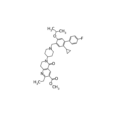 CCc1nc2c(cc1C(=O)OC)C(=O)N(C1CCN(Cc3cc(C4CC4)c(-c4ccc(F)cc4)cc3OC(C)C)CC1)CC2